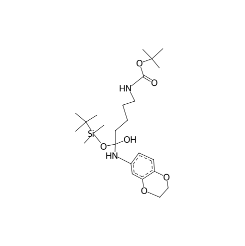 CC(C)(C)OC(=O)NCCCCC(O)(Nc1ccc2c(c1)OCCO2)O[Si](C)(C)C(C)(C)C